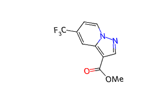 COC(=O)c1cnn2ccc(C(F)(F)F)cc12